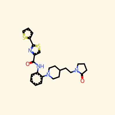 O=C(Nc1ccccc1N1CCC(CCN2CCCC2=O)CC1)c1csc(-c2cccs2)n1